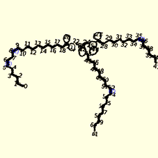 CCCCC/C=C\C/C=C\CCCCCCCCCC(=O)OC[C@@H](COC(=O)CCCCCCC/C=C\CCCCC)OC(=O)CCCCCCC/C=C\CCCCCCCC